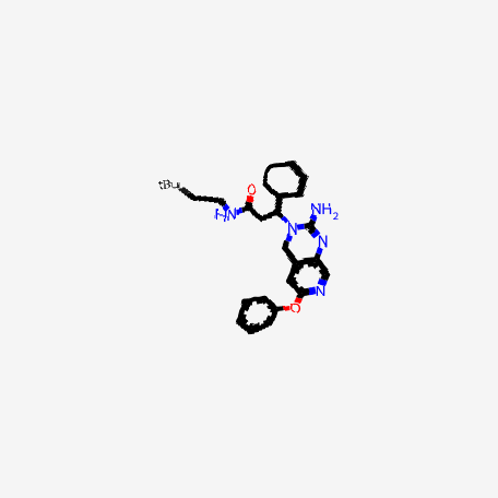 CC(C)(C)CCNC(=O)CC(C1CCCCC1)N1Cc2cc(Oc3ccccc3)ncc2N=C1N